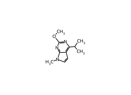 COc1nc(C(C)C)c2ccn(C)c2n1